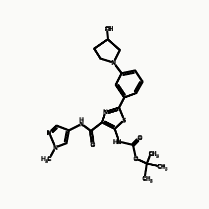 Cn1cc(NC(=O)c2nc(-c3cccc(N4CCC(O)C4)c3)sc2NC(=O)OC(C)(C)C)cn1